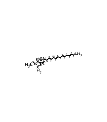 CCC=CCC=CCC=CCC=CCCS(=O)(=O)C(CC)C(=O)OCC